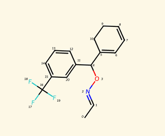 CC=NOC(C1=CC=CC[CH]1)c1cccc(C(F)(F)F)c1